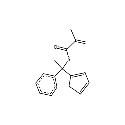 C=C(C)C(=O)SC(C)(C1=CC=CC1)c1ccccc1